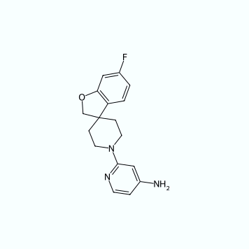 Nc1ccnc(N2CCC3(CC2)COc2cc(F)ccc23)c1